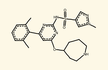 Cc1cccc(C)c1-c1cc(OC2CCCNCC2)nc(NS(=O)(=O)c2cnn(C)c2)n1